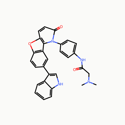 CN(C)CC(=O)Nc1ccc(-n2c(=O)ccc3oc4ccc(-c5c[nH]c6ccccc56)cc4c32)cc1